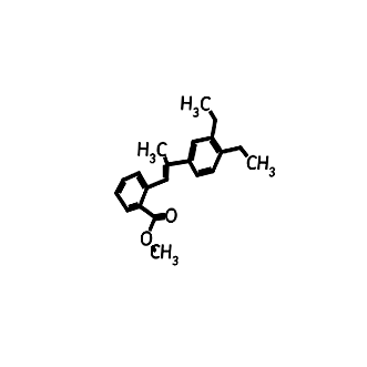 CCc1ccc(C(C)=Cc2ccccc2C(=O)OC)cc1CC